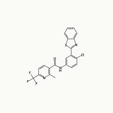 Cc1nc(C(F)(F)F)ccc1C(=O)Nc1ccc(Cl)c(-c2nc3ccccc3s2)c1